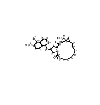 COc1ccc2c(OC3CC4C(=O)NC5(C(=O)O)CC5/C=C/CCCCCNC(=O)N4C3)nccc2c1Br